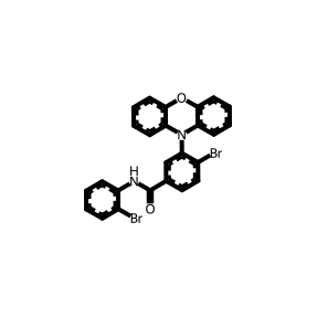 O=C(Nc1ccccc1Br)c1ccc(Br)c(N2c3ccccc3Oc3ccccc32)c1